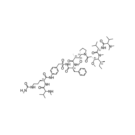 CC[C@H](C)C([C@@H](CC(=O)N1CCC[C@H]1[C@H](OC)[C@@H](C)C(=O)N[C@@H](Cc1ccccc1)C(=O)NS(=O)(=O)Cc1ccc(NC(=O)[C@H](CCCNC(N)=O)NC(=O)C(NC)C(C)C)cc1)OC)N(C)C(=O)[C@@H](NC(=O)C(C(C)C)N(C)C)C(C)C